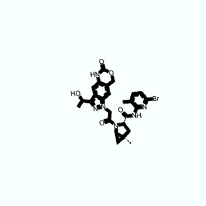 Cc1ccc(Br)nc1NC(=O)[C@@H]1C[C@@]2(C)CC2N1C(=O)Cn1nc(C(C)O)c2cc3c(cc21)COC(=O)N3